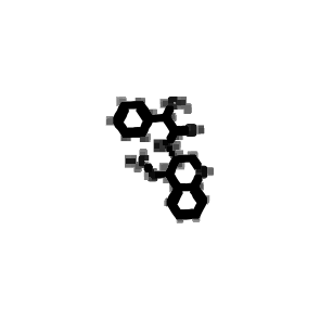 CS[C@@H]1c2ccccc2OC[C@H]1NC(=O)C(C)c1ccccc1